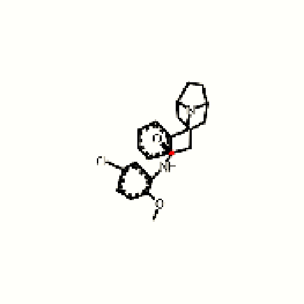 COc1ccc(Cl)cc1NC(=O)CC1CC2CCC(C1)N2Cc1ccccc1